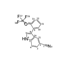 N#Cc1ccc2[nH]cc(-c3ccccc3OC(F)(F)F)c2c1